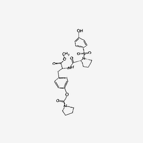 COC(=O)C(Cc1ccc(OC(=O)N2CCCC2)cc1)NC(=O)C1CCCN1S(=O)(=O)c1ccc(O)cc1